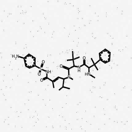 CNC(C(=O)NC(C(=O)N(C)C(C=C(C)C(=O)NS(=O)(=O)c1ccc(N)cc1)C(C)C)C(C)(C)C)C(C)(C)c1ccccc1